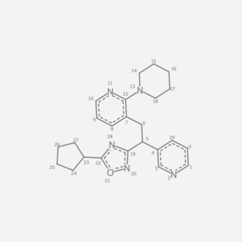 c1cncc(C(Cc2cccnc2N2CCCCC2)c2noc(C3CCCC3)n2)c1